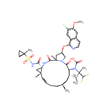 CC[C@@H]1C[C@@H](C)CCC=C[C@@H]2C[C@@]2(C(=O)NS(=O)(=O)C2(C)CC2)NC(=O)[C@@H]2C[C@@H](Oc3nccc4cc(OC)c(F)cc34)CN2C(=O)[C@H]1N(C(=O)O)C(C)(C)C(F)F